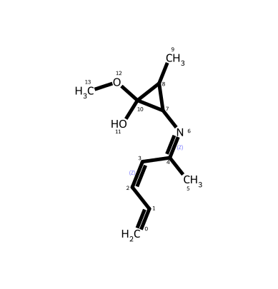 C=C/C=C\C(C)=N/C1C(C)C1(O)OC